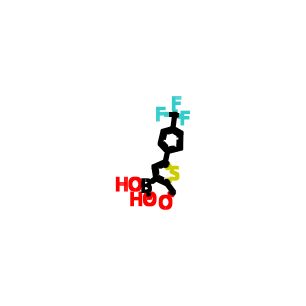 O=Cc1sc(-c2ccc(C(F)(F)F)cc2)cc1B(O)O